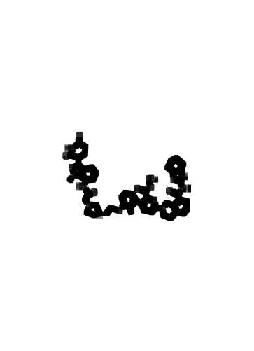 Cc1c(OCC[C@H]2CCN(CC(=O)Nc3cccc4c(C5CCC(=O)NC5=O)nn(C)c34)C2)cccc1-c1ccc(N2CCc3cccc(C(=O)Nc4nc5ccccc5s4)c3C2)nc1C(=O)OC(C)(C)C